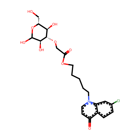 O=C(CO[C@H]1[C@H](O)[C@@H](CO)OC(O)[C@@H]1O)OCCCCCn1ccc(=O)c2ccc(Cl)cc21